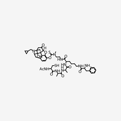 CC(=O)NC(CS)C(=O)NC(C)C(=O)NC(C)C(=O)NC(CCCCNC(=O)C(N)Cc1ccccc1)C(=O)NCCN(C)C(=S)OC1=C2O[C@H]3C(=O)CC45C[C@]36C2C(C=C1)CC(N4CC1CC1)C56O